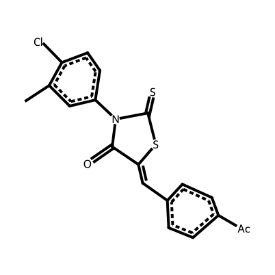 CC(=O)c1ccc(/C=C2\SC(=S)N(c3ccc(Cl)c(C)c3)C2=O)cc1